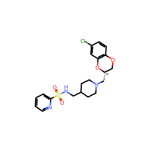 O=S(=O)(NCC1CCN(C[C@H]2COc3ccc(Cl)cc3O2)CC1)c1ccccn1